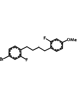 COc1ccc(C[CH]CCc2ccc(Br)cc2F)c(F)c1